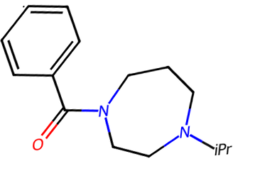 CC(C)N1CCCN(C(=O)c2cc[c]cc2)CC1